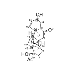 CC(=O)[C@@]1(O)CC[C@H]2[C@@H]3CC(=O)C4C[C@@H](O)C=C[C@]4(C)[C@H]3CC[C@@]21C